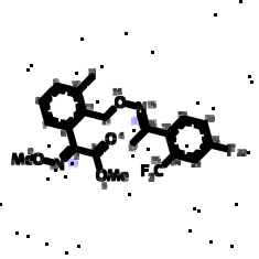 CO/N=C(/C(=O)OC)c1cccc(C)c1CO/N=C(\C)c1ccc(F)cc1C(F)(F)F